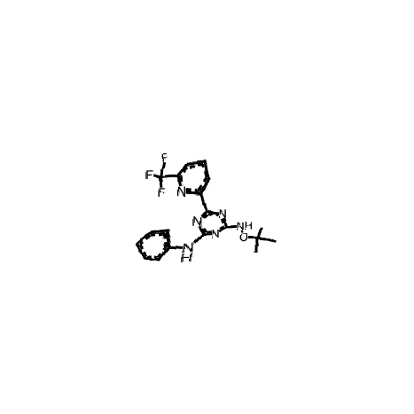 CC(C)(C)ONc1nc(Nc2ccccc2)nc(-c2cccc(C(F)(F)F)n2)n1